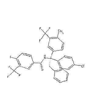 Cc1ccc([C@](Cc2ccccc2)(NC(=O)c2ccc(F)c(C(F)(F)F)c2)c2ccc(Cl)cn2)cc1C(F)(F)F